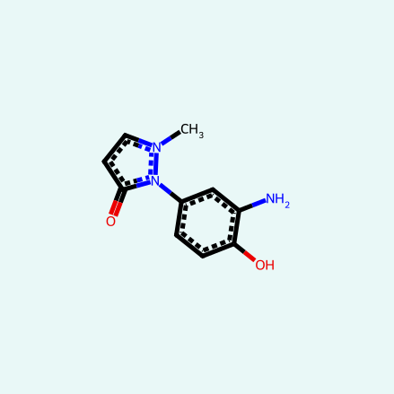 Cn1ccc(=O)n1-c1ccc(O)c(N)c1